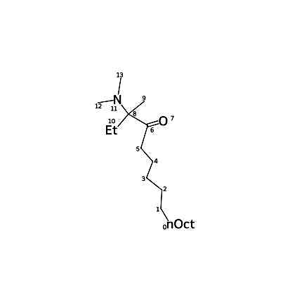 CCCCCCCCCCCCCC(=O)C(C)(CC)N(C)C